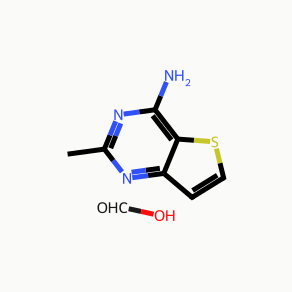 Cc1nc(N)c2sccc2n1.O=CO